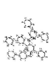 c1ccc(-c2ccc3sc4c(-c5ccccc5)cc5c(c6cc(-c7ccccc7)ccc6n5-c5nc(-c6ccccc6)nc(-c6ccccc6)n5)c4c3c2)cc1